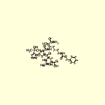 CC(C)(O)c1cnnn1[C@H]1C[C@@H](C(=O)NC(CCCCNC(=O)OCc2ccccc2)C(O)C(N)=O)N(C(=O)[C@@H](CNC(=O)O)NC(=O)O)C1